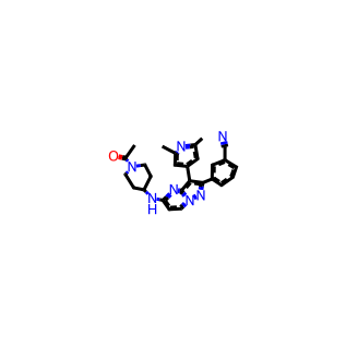 CC(=O)N1CCC(Nc2ccn3nc(-c4cccc(C#N)c4)c(-c4cc(C)nc(C)c4)c3n2)CC1